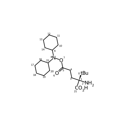 CC(C)(C)[C@](N)(CCC(=O)ON(C1CCCCC1)C1CCCCC1)C(=O)O